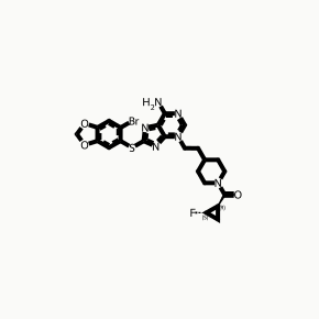 Nc1ncn(CCC2CCN(C(=O)[C@H]3C[C@@H]3F)CC2)c2nc(Sc3cc4c(cc3Br)OCO4)nc1-2